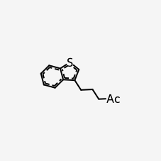 CC(=O)CCCc1csc2ccccc12